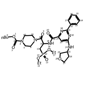 CCCCOC(=O)N1CCN(C(=O)C(CP(=O)(OCC)OCC)NC(=O)c2cc(NC3CCOC3)nc(-c3ccccc3)n2)CC1